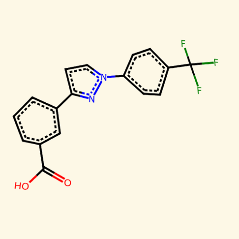 O=C(O)c1cccc(-c2ccn(-c3ccc(C(F)(F)F)cc3)n2)c1